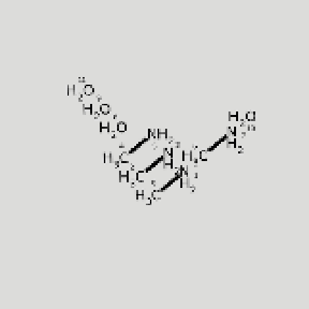 CN.CN.CN.CN.O.O.O.O